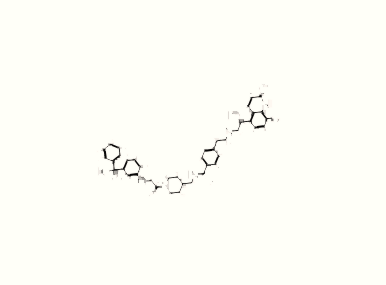 O=C(NCC1CCN(C(=O)COc2cccc([C@](O)(C(=O)O)c3ccccc3)c2)CC1)c1ccc(CCNC[C@H](O)c2ccc(O)c3[nH]c(=O)ccc23)cc1